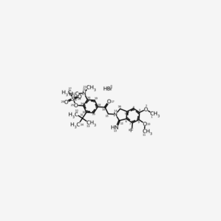 Br.COc1cc2c(c(F)c1OC)C(=N)N(CC(=O)c1cc(N(C)C)c(OS(C)(=O)=O)c(C(C)(C)C)c1)C2